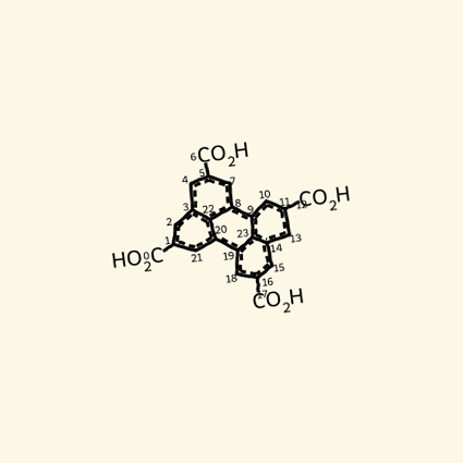 O=C(O)c1cc2cc(C(=O)O)cc3c4cc(C(=O)O)cc5cc(C(=O)O)cc(c(c1)c23)c54